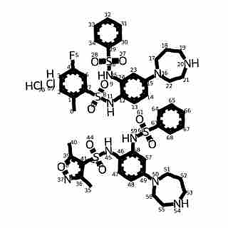 Cc1ccc(F)cc1S(=O)(=O)Nc1ccc(N2CCCNCC2)cc1NS(=O)(=O)c1ccccc1.Cc1noc(C)c1S(=O)(=O)Nc1ccc(N2CCCNCC2)cc1NS(=O)(=O)c1ccccc1.Cl.Cl